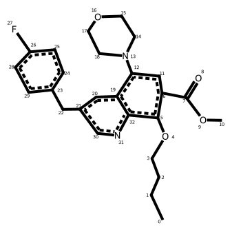 CCCCOc1c(C(=O)OC)cc(N2CCOCC2)c2cc(Cc3ccc(F)cc3)cnc12